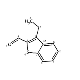 CCc1c(C=O)sc2ccccc12